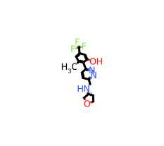 Cc1cc(C(F)(F)F)cc(O)c1-c1ccc(CN[C@H]2CCOC2)nn1